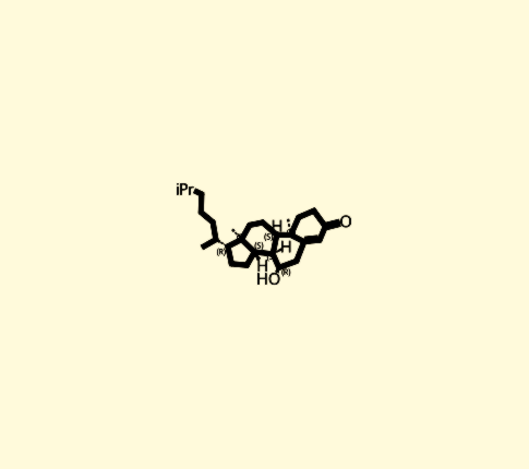 CC(C)CCCC(C)[C@H]1CC[C@H]2[C@@H]3[C@H](O)CC4=CC(=O)CC[C@]4(C)[C@H]3CC[C@]12C